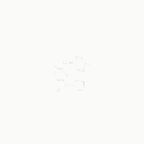 CN(c1nc(Nc2ccc(O)c(F)c2)ncc1Br)C1CCCO1